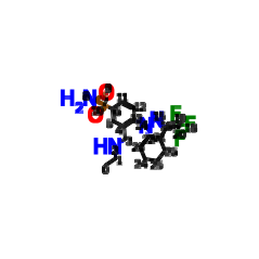 CCNCc1cc(S(N)(=O)=O)ccc1-n1nc(C(F)(F)F)c2c1CCCC2